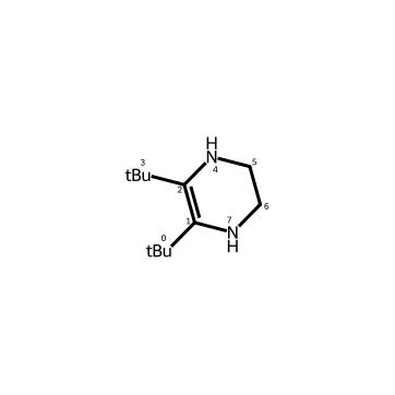 CC(C)(C)C1=C(C(C)(C)C)NCCN1